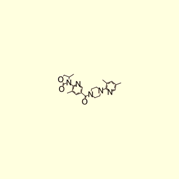 Cc1cnc(N2CCN(C(=O)c3cnc(N4C(=O)OCC4C)c(C)c3)CC2)c(C)c1